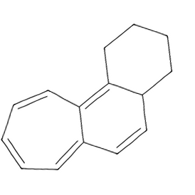 C1=CC=C2C=CC3CCCCC3=C2C=C1